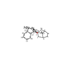 N#CN1C2CCC1CC(c1n[nH]c3ccccc13)C2